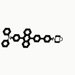 c1ccc(N(c2ccccc2)c2ccc(-c3c4ccccc4c(-c4ccc(-c5ccc(N6CCOCC6)cc5)cc4)c4ccccc34)cc2)cc1